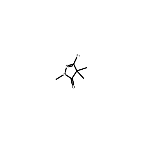 CCC1=NN(C)C(=O)C1(C)C